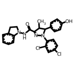 CC1C(C(=O)NN2CCc3ccccc32)=NN(c2ccc(Cl)cc2Cl)C1c1ccc(O)cc1